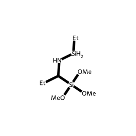 CC[SiH2]NC(CC)[Si](OC)(OC)OC